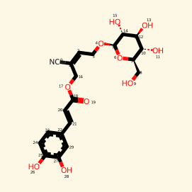 N#CC(=CCO[C@@H]1O[C@H](CO)[C@@H](O)[C@H](O)[C@H]1O)COC(=O)C=Cc1ccc(O)c(O)c1